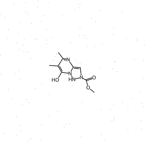 COC(=O)N1C=C2N=C(C)C(C)=C(O)N2N1